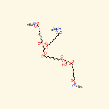 CCCCNOC(=O)CCCCCCCC(=O)OCC(O)COC(=O)CCCCCCCC(=O)OCC(COC(=O)CCCCCCCC(=O)ONCCCC)OC(=O)CCCCCCCC(=O)ONCCCC